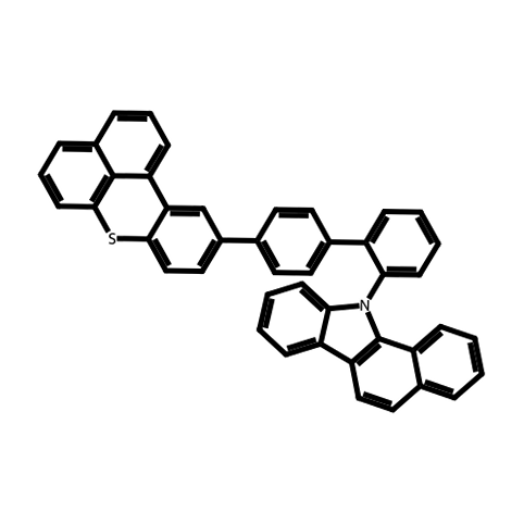 c1ccc(-n2c3ccccc3c3ccc4ccccc4c32)c(-c2ccc(-c3ccc4c(c3)-c3cccc5cccc(c35)S4)cc2)c1